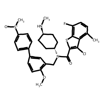 CN[C@H]1CC[C@H](N(Cc2cc(-c3ccc([S+](C)[O-])cc3)ccc2OC)C(=O)c2sc3c(F)ccc(C)c3c2Cl)CC1